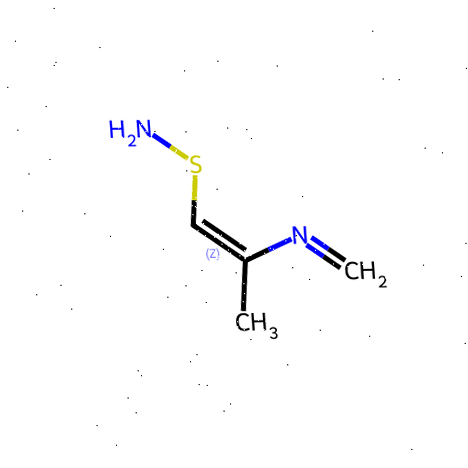 C=N/C(C)=C\SN